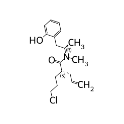 C=CC[C@H](CCCCl)C(=O)N(C)[C@H](C)Cc1ccccc1O